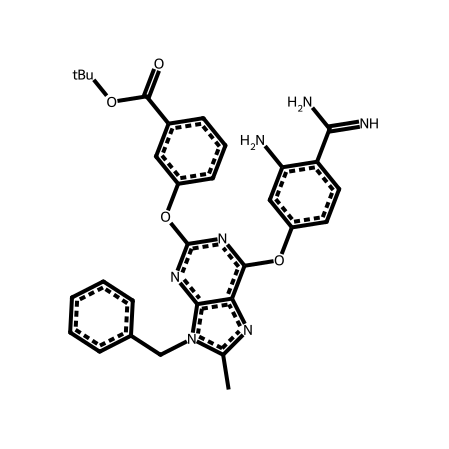 Cc1nc2c(Oc3ccc(C(=N)N)c(N)c3)nc(Oc3cccc(C(=O)OC(C)(C)C)c3)nc2n1Cc1ccccc1